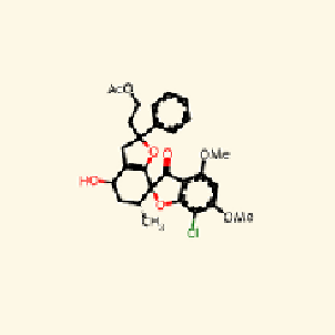 COc1cc(OC)c2c(c1Cl)O[C@]1(C2=O)C2=C(CC(CCOC(C)=O)(c3ccccc3)O2)C(O)C[C@H]1C